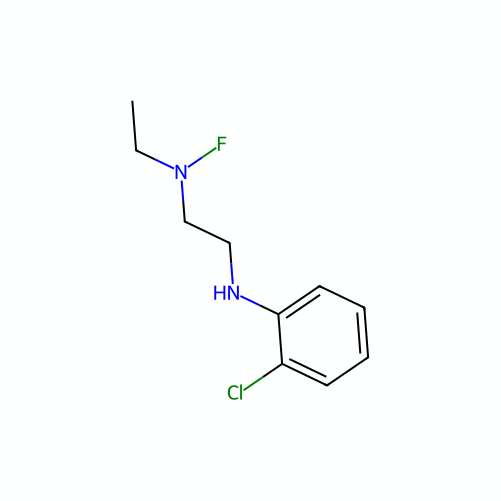 CCN(F)CCNc1ccccc1Cl